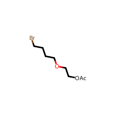 CC(=O)OCCOCCCCBr